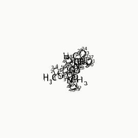 Cc1ccccc1OC(CC(OC(=O)C(=O)OC(CC(Oc1ccccc1C)c1ccccc1)N(C)Cc1ccccc1)N(C)Cc1ccccc1)c1ccccc1